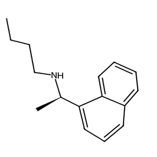 CCCCN[C@H](C)c1cccc2ccccc12